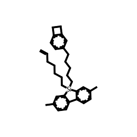 C=CCCCCC[Si]1(CCCCCc2ccc3c(c2)CC3)c2cc(C)ccc2-c2ccc(C)cc21